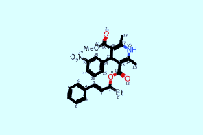 CCC(/C=C/c1ccccc1)OC(=O)C1=C(C)NC(C)=C(C(=O)OC)C1c1cccc([N+](=O)[O-])c1